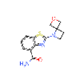 NC(=O)c1[c]ccc2sc(N3CCC34COC4)nc12